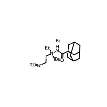 CCCCCCCCCCCC[N+](CC)(NC(=O)C12CC3CC(CC(C3)C1)C2)C(C)CC.[Br-]